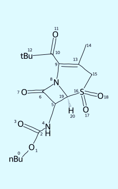 CCCCOC(=O)NC1C(=O)N2C(C(=O)C(C)(C)C)=C(C)CS(=O)(=O)[C@@H]12